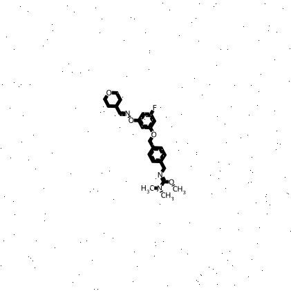 CO/C(=N\Cc1ccc(COc2cc(F)cc(ON=CC3CCOCC3)c2)cc1)N(C)C